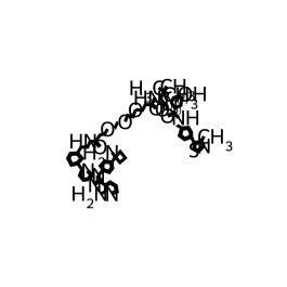 Cc1ncsc1-c1ccc(CNC(=O)[C@@H]2C[C@@H](O)CN2C(=O)C(NC(=O)CCOCCOCCOCCC(=O)NCCc2cccc(-c3ccc4nc(-c5cccnc5N)n(-c5ccc(C6(N)CCC6)cc5)c4n3)c2)C(C)(C)C)cc1